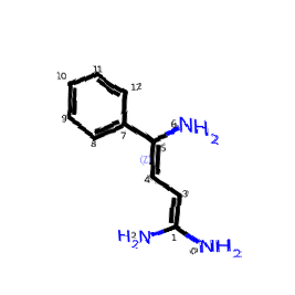 NC(N)=C/C=C(\N)c1ccccc1